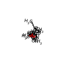 C=CCN1[C@@H]2c3c(cc(C)c(OC)c3O)C[C@H]1[C@H](C#N)N1C2[C@@H]2SC[C@]3(NCCc4cc(O)c(OC)cc43)C(=O)OC[C@H]1c1c3c(c(C)c(OC(=O)CCCCCCC)c12)OCO3